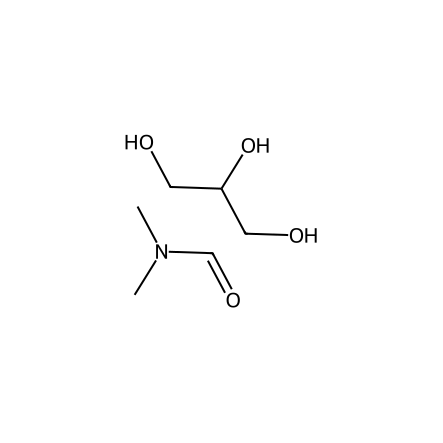 CN(C)C=O.OCC(O)CO